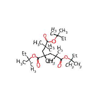 CCC(C)(C)OC(=O)C(C)(C)CC(C)(CC(C)(CC)C(=O)OC(C)(C)CC)C(=O)OC(C)(C)CC